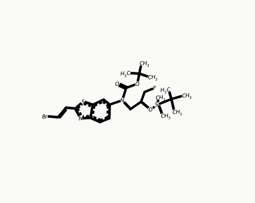 CC(C)(C)OC(=O)N(CC(CF)O[Si](C)(C)C(C)(C)C)c1ccc2nc(/C=C/Br)sc2c1